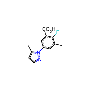 Cc1cc(-n2nccc2C)cc(C(=O)O)c1F